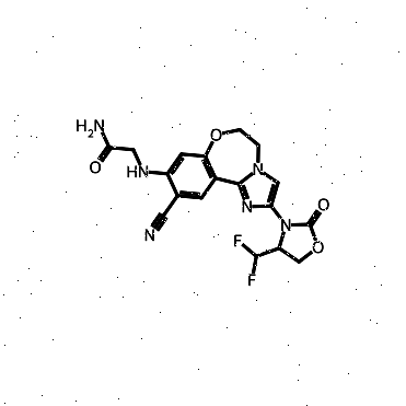 N#Cc1cc2c(cc1NCC(N)=O)OCCn1cc(N3C(=O)OCC3C(F)F)nc1-2